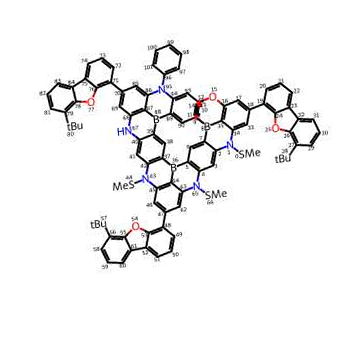 CSN1c2cc3c(cc2B2c4ccccc4Oc4cc(-c5cccc6c5oc5c(C(C)(C)C)cccc56)cc1c42)B1c2cc4c(cc2N(SC)c2cc(-c5cccc6c5oc5c(C(C)(C)C)cccc56)cc(c21)N3SC)Nc1cc(-c2cccc3c2oc2c(C(C)(C)C)cccc23)cc2c1B4c1ccccc1N2c1ccccc1